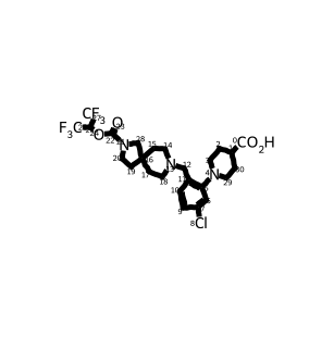 O=C(O)C1CCN(c2cc(Cl)ccc2CN2CCC3(CC2)CCN(C(=O)OC(C(F)(F)F)C(F)(F)F)C3)CC1